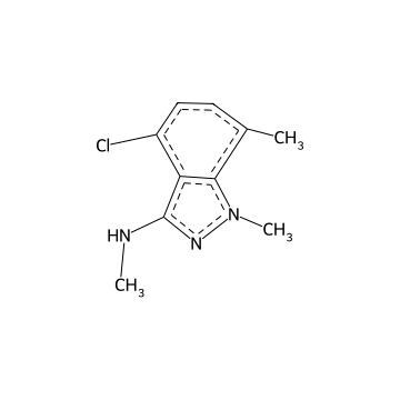 CNc1nn(C)c2c(C)ccc(Cl)c12